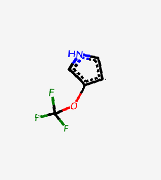 FC(F)(F)Oc1[c]c[nH]c1